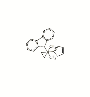 [CH3][Ti]1([CH3])([C]2=CC=CC2)([CH]2c3ccccc3-c3ccccc32)[CH2][CH2]1